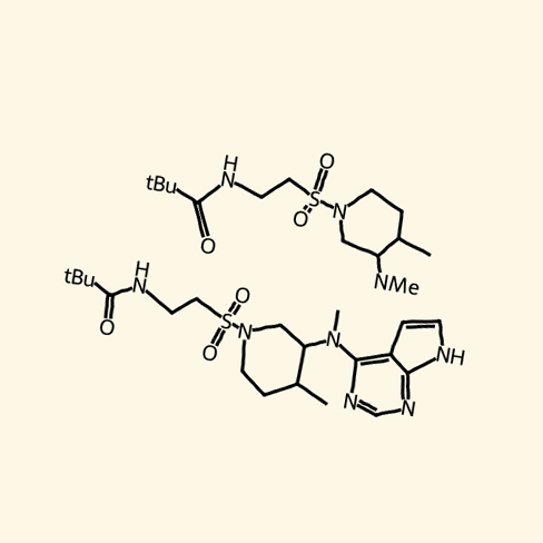 CC1CCN(S(=O)(=O)CCNC(=O)C(C)(C)C)CC1N(C)c1ncnc2[nH]ccc12.CNC1CN(S(=O)(=O)CCNC(=O)C(C)(C)C)CCC1C